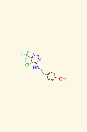 Oc1ccc(CCNc2ncnc(C(F)(F)F)c2Cl)cc1